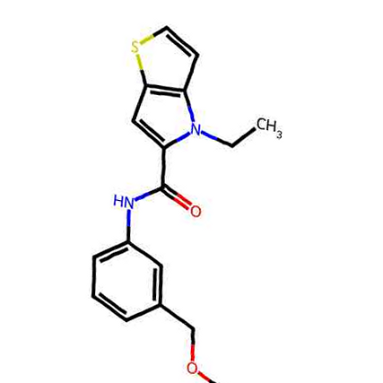 CCn1c(C(=O)Nc2cccc(COC)c2)cc2sccc21